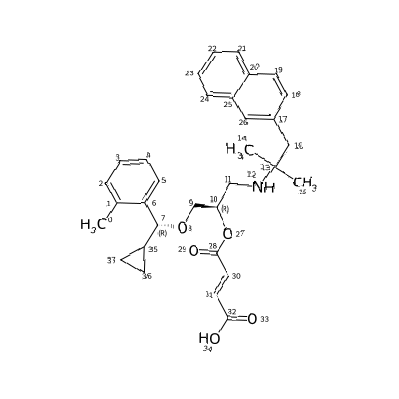 Cc1ccccc1[C@H](OC[C@@H](CNC(C)(C)Cc1ccc2ccccc2c1)OC(=O)C=CC(=O)O)C1CC1